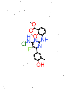 COC(=O)c1cccc(Nc2nc(NCl)c(F)c(-c3ccc(O)c(C)c3)n2)c1OC